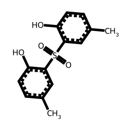 Cc1ccc(O)c(S(=O)(=O)c2cc(C)ccc2O)c1